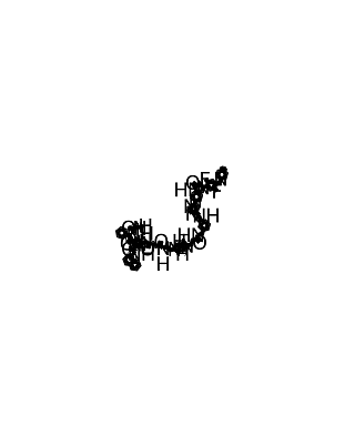 CN[C@@H](C)C(=O)N[C@H](C(=O)N1C[C@@H](NC(=O)CCC(=O)NCCN2C[C@@H]3CN(CCC(=O)NCc4cccc(CNc5cc(N6CCC7(CC6)CN(c6cc(F)c(CN8CCC(C)(C)CC8)cc6F)CC(=O)N7)ncn5)c4)C[C@@H]3C2)C[C@H]1C(=O)N[C@@H]1CCCc2ccccc21)C1CCCCC1